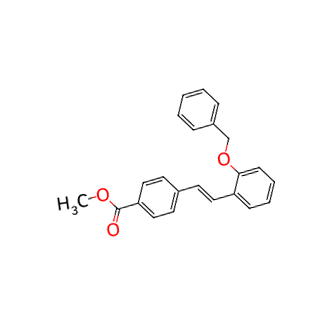 COC(=O)c1ccc(C=Cc2ccccc2OCc2ccccc2)cc1